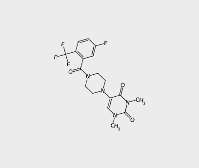 Cn1cc(N2CCN(C(=O)c3cc(F)ccc3C(F)(F)F)CC2)c(=O)n(C)c1=O